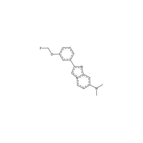 CN(C)c1ccn2cc(-c3cccc(OCF)c3)nc2c1